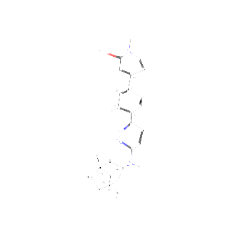 CN(c1ccc(-c2ccc(-c3ccn(C)c(=O)c3)cc2O)nn1)[C@H]1C[C@]2(C)CC[C@](C)(C1)C2